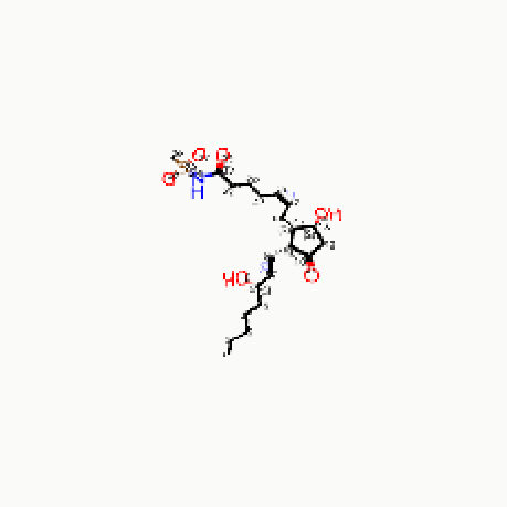 CCCCC[C@H](O)/C=C/[C@H]1C(=O)C[C@H](O)[C@@H]1C/C=C\CCCC(=O)NS(C)(=O)=O